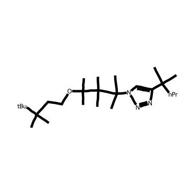 CCCC(C)(C)c1cn(C(C)(C)C(C)(C)C(C)(C)OCCC(C)(C)C(C)(C)C)nn1